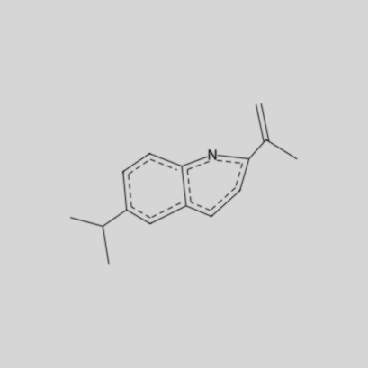 C=C(C)c1ccc2cc(C(C)C)ccc2n1